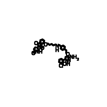 Nc1nnc(-c2cccc(Cl)c2O)cc1OCCc1ccc(CNCCCCCOc2cccc3c2C(=O)N(C2CCC(=O)NC2=O)C3=O)cc1